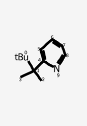 CC(C)(C)C(C)(C)c1ccccn1